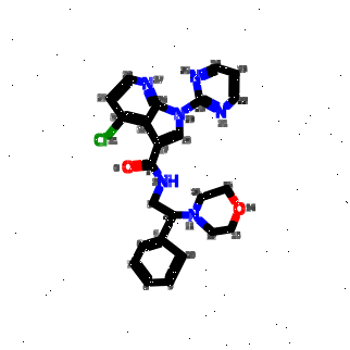 O=C(NCC(c1ccccc1)N1CCOCC1)c1cn(-c2ncccn2)c2nccc(Cl)c12